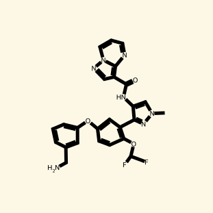 Cn1cc(NC(=O)c2cnn3cccnc23)c(-c2cc(Oc3cccc(CN)c3)ccc2OC(F)F)n1